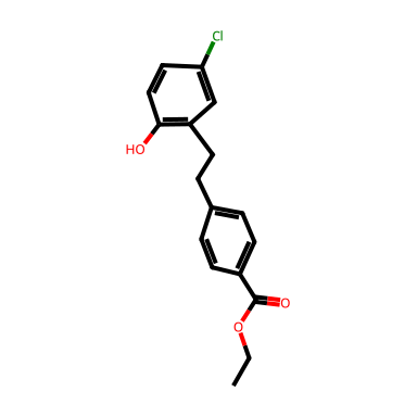 CCOC(=O)c1ccc(CCc2cc(Cl)ccc2O)cc1